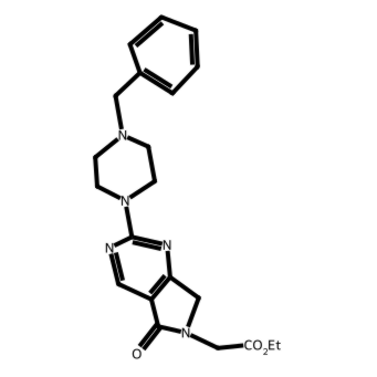 CCOC(=O)CN1Cc2nc(N3CCN(Cc4ccccc4)CC3)ncc2C1=O